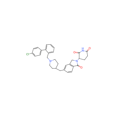 O=C1CCC(N2Cc3cc(CC4CCN(Cc5ccccc5-c5ccc(Cl)cc5)CC4)ccc3C2=O)C(=O)N1